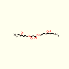 CCCC(O)CCCOC(=O)CC(=O)OCCCC(O)CCC